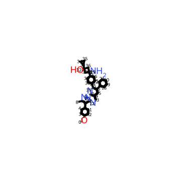 COc1ccc(-c2c(C)nn3c2ncc2cc(-c4ccccc4)c(-c4ccc(C5(N)CC(O)(C6CC6)C5)cc4)nc23)cc1